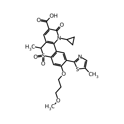 COCCCOc1cc2c(cc1-c1ncc(C)s1)-c1c(cc(C(=O)O)c(=O)n1C1CC1)C(C)S2(=O)=O